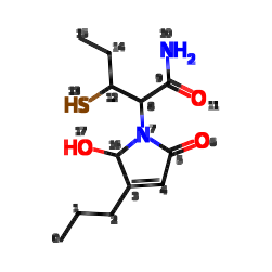 CCCC1=CC(=O)N(C(C(N)=O)C(S)CC)C1O